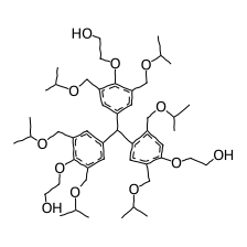 CC(C)OCc1cc(C(c2cc(COC(C)C)c(OCCO)c(COC(C)C)c2)c2cc(COC(C)C)c(OCCO)c(COC(C)C)c2)c(COC(C)C)cc1OCCO